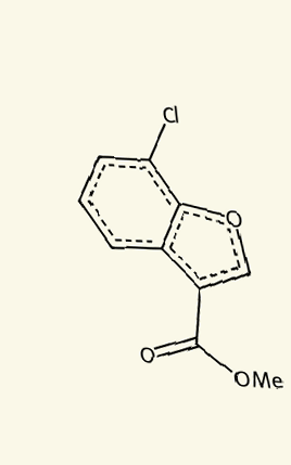 COC(=O)c1coc2c(Cl)cccc12